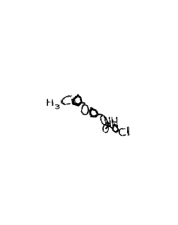 Cc1ccc(COc2ccc(CONC(=O)c3ccc(Cl)cc3)cc2)cc1